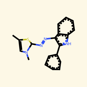 CC1=CN(C)C(N=Nc2c(-c3ccccc3)[nH]c3ccccc23)S1